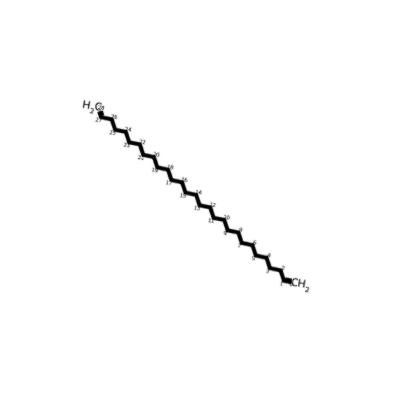 C=CCCCCCCCCCCCCCCCCCCCCCCCCCC=C